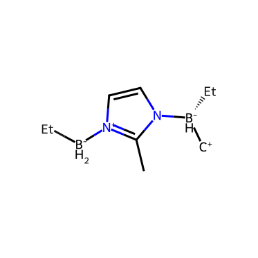 [CH2+][B@@H-](CC)n1cc[n+]([BH2-]CC)c1C